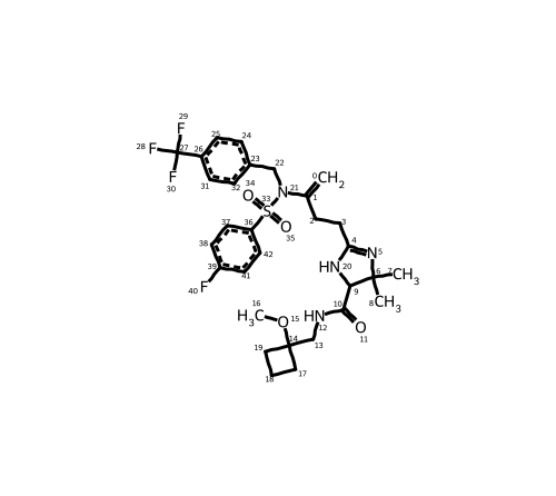 C=C(CCC1=NC(C)(C)C(C(=O)NCC2(OC)CCC2)N1)N(Cc1ccc(C(F)(F)F)cc1)S(=O)(=O)c1ccc(F)cc1